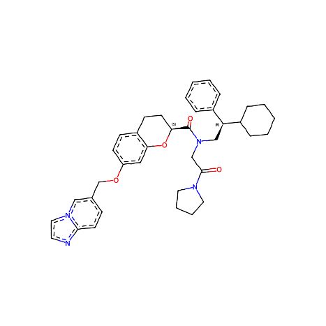 O=C(CN(C[C@@H](c1ccccc1)C1CCCCC1)C(=O)[C@@H]1CCc2ccc(OCc3ccc4nccn4c3)cc2O1)N1CCCC1